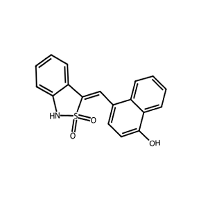 O=S1(=O)Nc2ccccc2C1=Cc1ccc(O)c2ccccc12